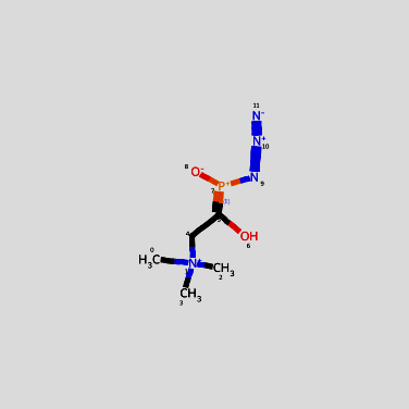 C[N+](C)(C)C/C(O)=[P+](\[O-])N=[N+]=[N-]